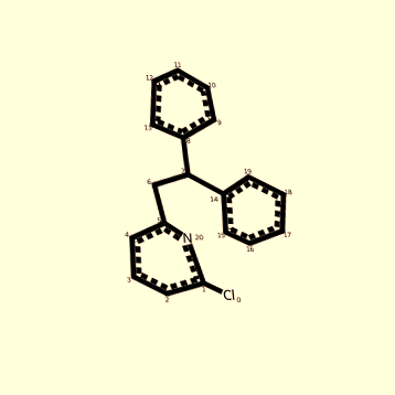 Clc1cccc(CC(c2ccccc2)c2ccccc2)n1